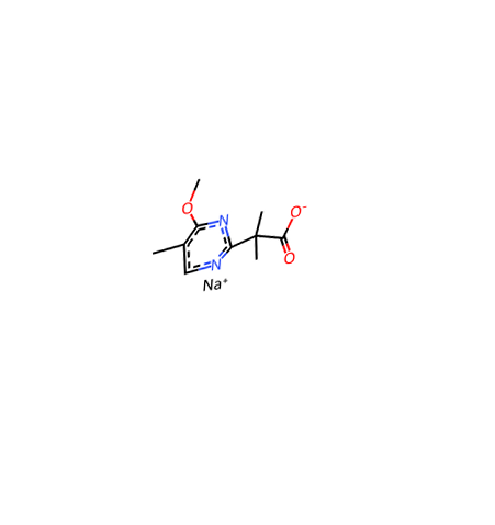 COc1nc(C(C)(C)C(=O)[O-])ncc1C.[Na+]